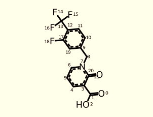 O=C(O)c1cccn(Cc2ccc(C(F)(F)F)c(F)c2)c1=O